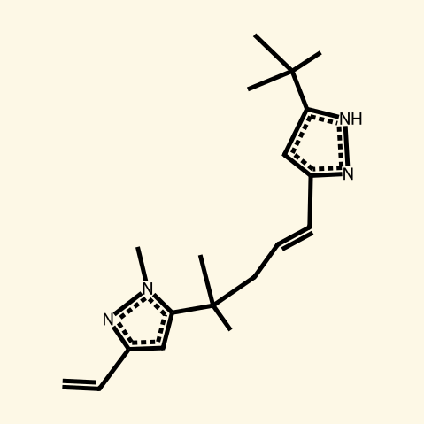 C=Cc1cc(C(C)(C)CC=Cc2cc(C(C)(C)C)[nH]n2)n(C)n1